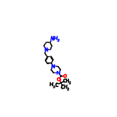 CC(C)(C)OC(=O)N1CCN(c2ccc(CN3CCC(N)CC3)cc2)CC1